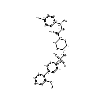 COc1cnccc1-c1ccc(S(=O)(=O)N[C@H]2CC[C@H](C(=O)N[C@H](C)c3ccc(F)cc3)CC2)cc1